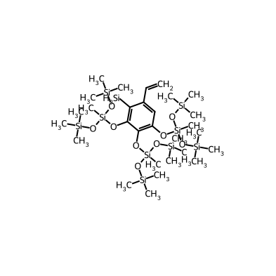 C=Cc1cc(O[Si](C)(O[Si](C)(C)C)O[Si](C)(C)C)c(O[Si](C)(O[Si](C)(C)C)O[Si](C)(C)C)c(O[Si](C)(O[Si](C)(C)C)O[Si](C)(C)C)c1[SiH3]